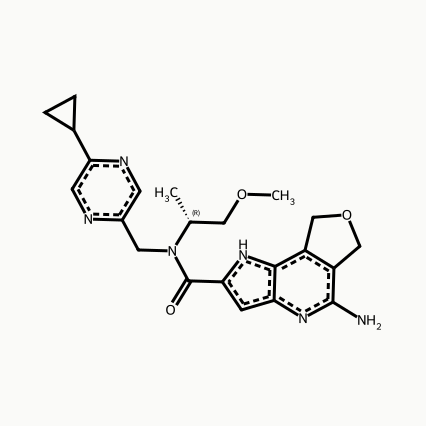 COC[C@@H](C)N(Cc1cnc(C2CC2)cn1)C(=O)c1cc2nc(N)c3c(c2[nH]1)COC3